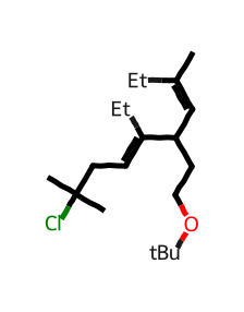 CC/C(C)=C\C(CCOC(C)(C)C)/C(=C/CC(C)(C)Cl)CC